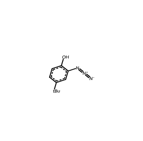 CC(C)(C)c1ccc(O)c(N=[N+]=[N-])c1